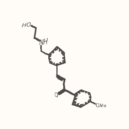 COc1ccc(C(=O)/C=C/c2cccc(CNCCO)c2)cc1